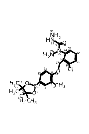 Cc1cc(B2OC(C)(C)C(C)(C)O2)ccc1OCc1c(Cl)cccc1N(N)C(=O)NN